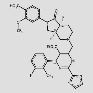 CCOC(=O)C1=C(CN2CC[C@]3(F)C(=O)N(c4ccc(C(=O)O)c(OC(F)(F)F)c4)C[C@@H]3C2)NC(c2nccs2)=N[C@H]1c1cccc(F)c1C